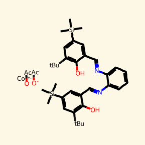 CC(=O)[O-].CC(=O)[O-].CC(C)(C)c1cc([Si](C)(C)C)cc(C=Nc2ccccc2N=Cc2cc([Si](C)(C)C)cc(C(C)(C)C)c2O)c1O.[Co+2]